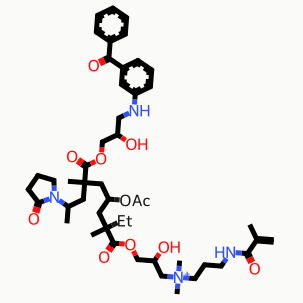 C=C(C)C(=O)NCCC[N+](C)(C)CC(O)COC(=O)C(C)(CC)CC(CC(C)(CC(C)N1CCCC1=O)C(=O)OCC(O)CNc1cccc(C(=O)c2ccccc2)c1)OC(C)=O